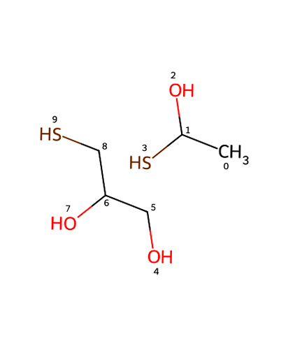 CC(O)S.OCC(O)CS